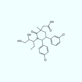 CCC(C(O)CO)N1C(=O)C(C)(CC(=O)O)CC(c2cccc(Cl)c2)C1c1ccc(Cl)cc1